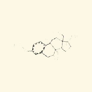 CCC12CC[C@@H]3c4ccc(OC)cc4C[C@@H](C)[C@H]3[C@@H]1CC[C@@H]2O